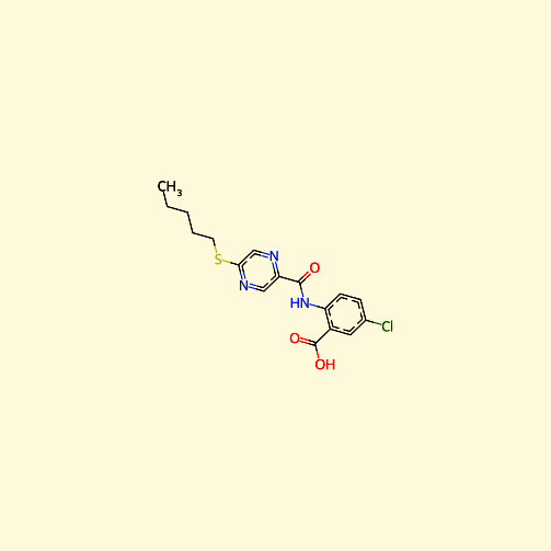 CCCCCSc1cnc(C(=O)Nc2ccc(Cl)cc2C(=O)O)cn1